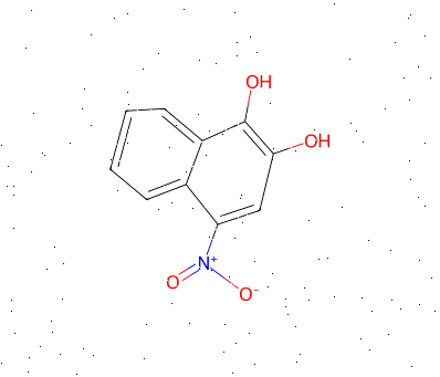 O=[N+]([O-])c1cc(O)c(O)c2ccccc12